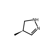 C[C@@H]1C=NNC1